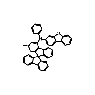 CC1C=C(N(c2ccccc2)c2ccc3c(c2)oc2ccccc23)C2=C(C1)C1(c3ccccc32)c2ccccc2-c2ccccc21